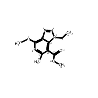 CCn1nnc2c(OC)nc(C)c(C(=O)OC)c21